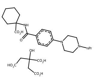 CCCN1CCN(c2ccc(C(=O)NC3(C(=O)O)CCCCC3)cc2)CC1.O=C(O)CC(O)(CC(=O)O)C(=O)O